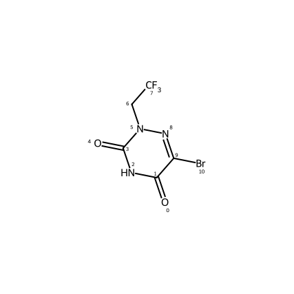 O=c1[nH]c(=O)n(CC(F)(F)F)nc1Br